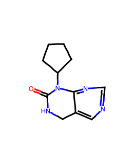 O=C1NCc2cncnc2N1C1CCCC1